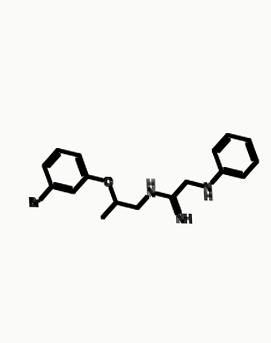 CC(CNC(=N)CNc1ccccc1)Oc1cccc(Br)c1